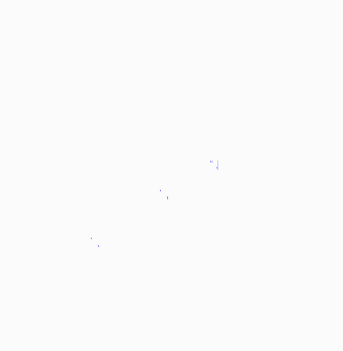 N#Cc1nc2c(ccn2C2CCC2)cc1F